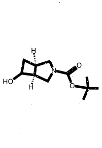 CC(C)(C)OC(=O)N1C[C@@H]2CC(O)[C@@H]2C1